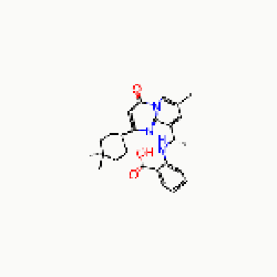 Cc1cc([C@H](C)Nc2ccccc2C(=O)O)c2nc(C3CCC(C)(C)CC3)cc(=O)n2c1